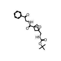 CC(C)(C)OC(=O)NCC12CC(C(=O)NCC(=O)c3ccccc3)(CO1)C2